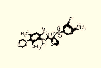 Cc1ccc(S(=O)(=O)Nc2ccsc2C(=O)Nc2c(C)cc(C)c(N3CCOCC3)c2C)cc1F